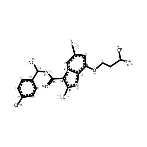 Cc1cc(OCCC(C(F)(F)F)C(F)(F)F)c2nc(C)c(C(=O)NC(C#N)c3ccc(Cl)cc3)n2c1